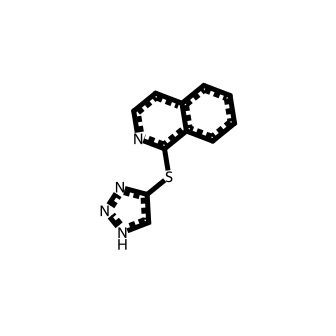 c1ccc2c(Sc3c[nH]nn3)nccc2c1